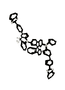 CC1(C)c2ccccc2N(c2ccc3c(c2)C2(c4ccccc4-c4ccccc42)c2cc(N(c4ccccc4)c4ccc(-c5ccc(-c6nc7ccccc7o6)cc5)cc4)ccc2-3)c2ccc(-c3ccc(-c4nc5ccccc5o4)cc3)cc21